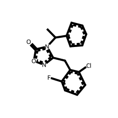 CC(c1ccccc1)n1c(Cc2c(F)cccc2Cl)noc1=O